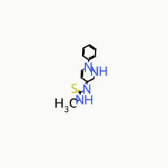 CNC(=S)N=C1C=CN(c2ccccc2)NC1